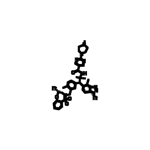 CC[C@@H]1CN(Cc2cc(C(c3ccc4c(nnn4CC)c3C)C(C)(C)NC(=O)c3cnc(N4CCN(C)CC4)nc3)ccc2C)S(=O)(=O)c2ccccc2O1